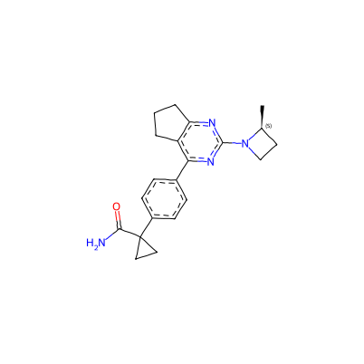 C[C@H]1CCN1c1nc2c(c(-c3ccc(C4(C(N)=O)CC4)cc3)n1)CCC2